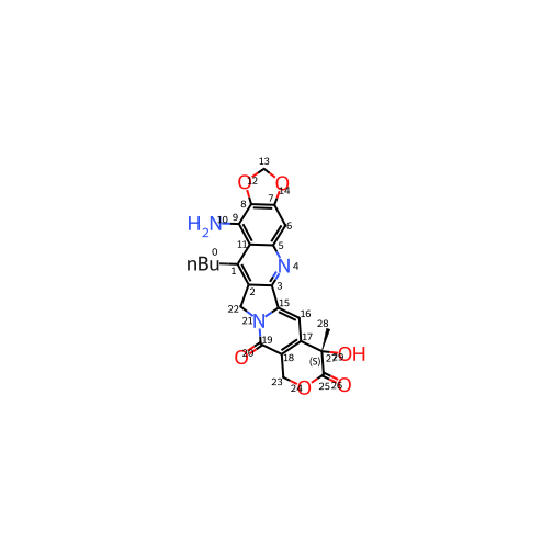 CCCCc1c2c(nc3cc4c(c(N)c13)OCO4)-c1cc3c(c(=O)n1C2)COC(=O)[C@@]3(C)O